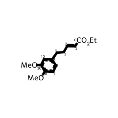 CCOC(=O)C=CCCc1ccc(OC)c(OC)c1